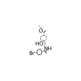 C=C(OCC)C1CCC(O)(CCN[C@@H](C)c2ccc(Br)cc2)CC1